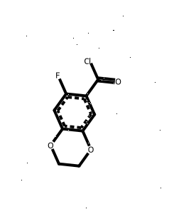 O=C(Cl)c1cc2c(cc1F)OCCO2